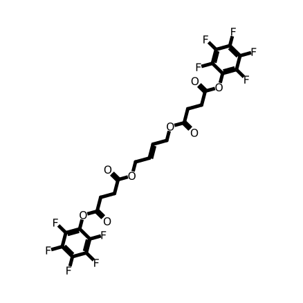 O=C(CCC(=O)Oc1c(F)c(F)c(F)c(F)c1F)OCC=CCOC(=O)CCC(=O)Oc1c(F)c(F)c(F)c(F)c1F